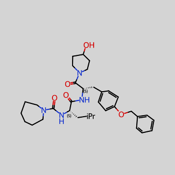 CC(C)C[C@H](NC(=O)N1CCCCCC1)C(=O)N[C@@H](Cc1ccc(OCc2ccccc2)cc1)C(=O)N1CCC(O)CC1